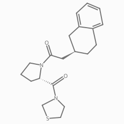 O=C([C@@H]1CCCN1C(=O)C[C@@H]1CCc2ccccc2C1)N1CCSC1